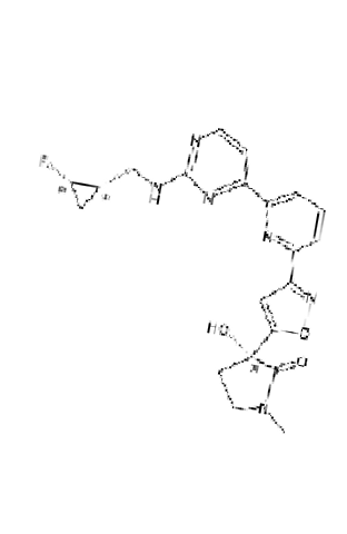 CN1CC[C@@](O)(c2cc(-c3cccc(-c4ccnc(NC[C@@H]5C[C@@H]5F)n4)n3)no2)C1=O